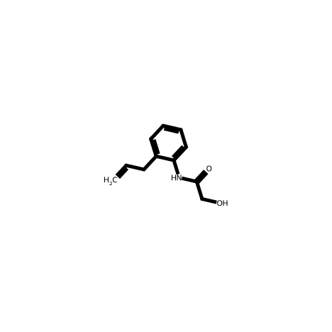 C=CCc1ccccc1NC(=O)CO